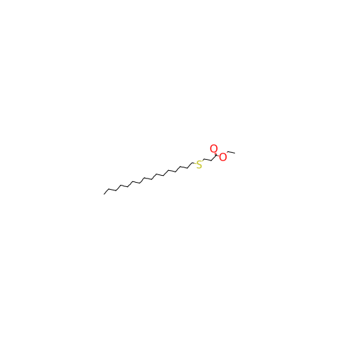 CCCCCCCCCCCCCCCCSCCC(=O)OCC